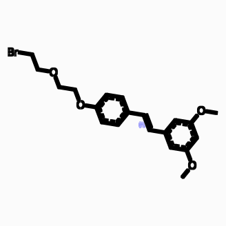 COc1cc(/C=C/c2ccc(OCCOCCBr)cc2)cc(OC)c1